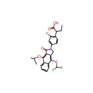 CCC(C(=O)O)c1ccc(N2Cc3c(c(OC(C)C)c4ccccc4c3OC(F)F)C2=O)cc1F